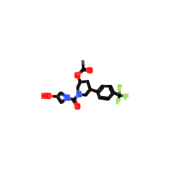 CC(=O)OC1CC(c2ccc(C(F)(F)F)cc2)CN(C(=O)N2CC(O)C2)C1